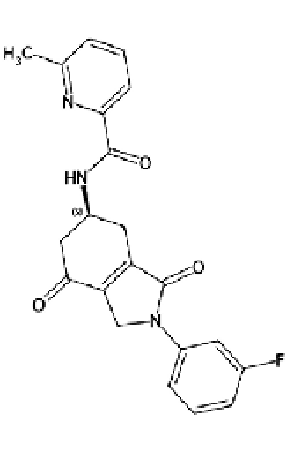 Cc1cccc(C(=O)N[C@@H]2CC(=O)C3=C(C2)C(=O)N(c2cccc(F)c2)C3)n1